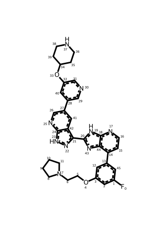 Fc1cc(OCCN2CCCC2)cc(-c2ccnc3[nH]c(-c4n[nH]c5ncc(-c6cncc(OC7CCNCC7)c6)cc45)nc23)c1